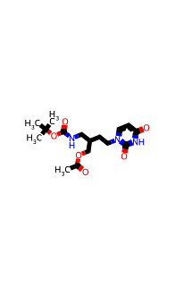 CC(=O)OCC(CCn1ccc(=O)[nH]c1=O)CNC(=O)OC(C)(C)C